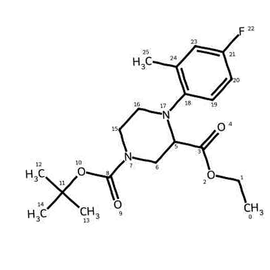 CCOC(=O)C1CN(C(=O)OC(C)(C)C)CCN1c1ccc(F)cc1C